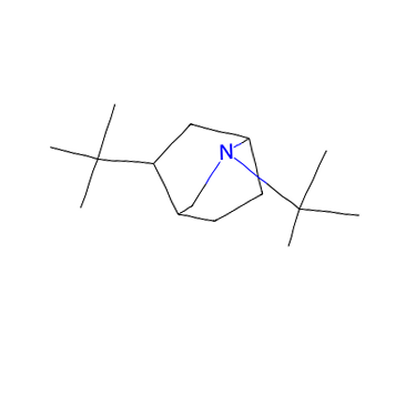 CC(C)(C)C1CC2CCC1CN2C(C)(C)C